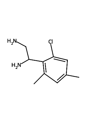 Cc1cc(C)c(C(N)CN)c(Cl)c1